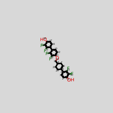 Oc1ccc(C2=CCC(COc3ccc(-c4ccc(O)c(F)c4F)c(F)c3F)CC2)c(F)c1F